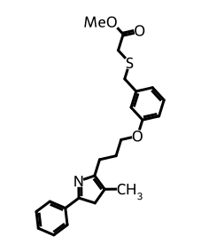 COC(=O)CSCc1cccc(OCCCC2=C(C)CC(c3ccccc3)=N2)c1